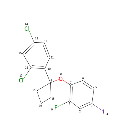 Fc1cc(I)ccc1OC1(c2ccc(Cl)cc2Cl)CCC1